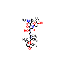 CNC(=O)C(C)C1C(=O)/C(=C(O)/C=C/C(C)=C/C(C)C2OC3(C)OC(C=CC34CO4)C2C)C(=O)N1C1CCC(O)C(C)O1